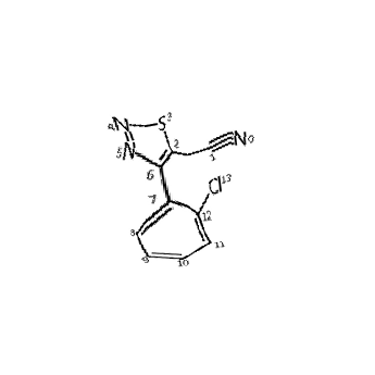 N#Cc1snnc1-c1ccccc1Cl